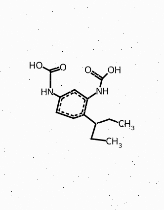 CCC(CC)c1ccc(NC(=O)O)cc1NC(=O)O